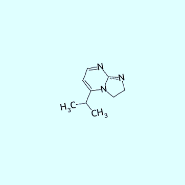 CC(C)C1=CC=NC2=NCCN12